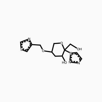 OCC1(n2ccnn2)OCC(OCc2cscn2)CC1O